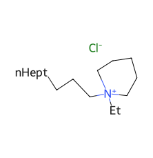 CCCCCCCCCC[N+]1(CC)CCCCC1.[Cl-]